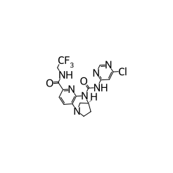 O=C(NCC(F)(F)F)c1ccc2c(n1)N(C(=O)Nc1cc(Cl)ncn1)[C@H]1CCN2C1